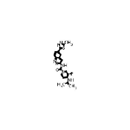 Cc1nnc(-c2ccc3nnc(NC(=O)N4CC[C@@H](NC(C)C)[C@H](F)C4)cc3c2)s1